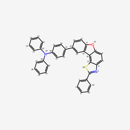 c1ccc(-c2nc3ccc4oc5ccc(-c6ccc(N(c7ccccc7)c7ccccc7)cc6)cc5c4c3s2)cc1